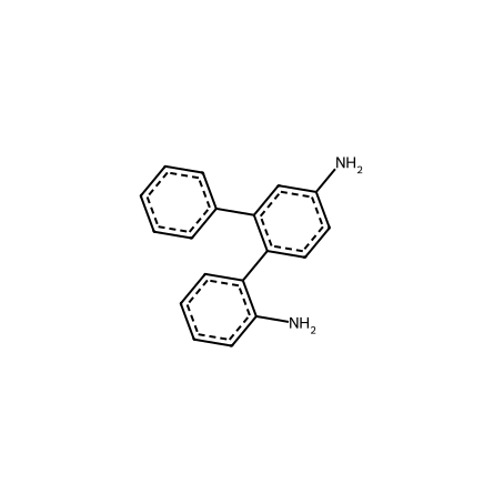 Nc1ccc(-c2ccccc2N)c(-c2ccccc2)c1